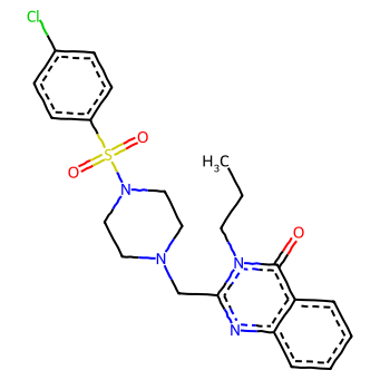 CCCn1c(CN2CCN(S(=O)(=O)c3ccc(Cl)cc3)CC2)nc2ccccc2c1=O